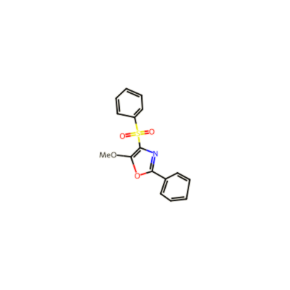 COc1oc(-c2ccccc2)nc1S(=O)(=O)c1ccccc1